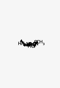 Cc1nc2c(F)c(O)c(-c3ccc4nc(N5CCC(NCC6CC6)C5)ccc4n3)cc2o1